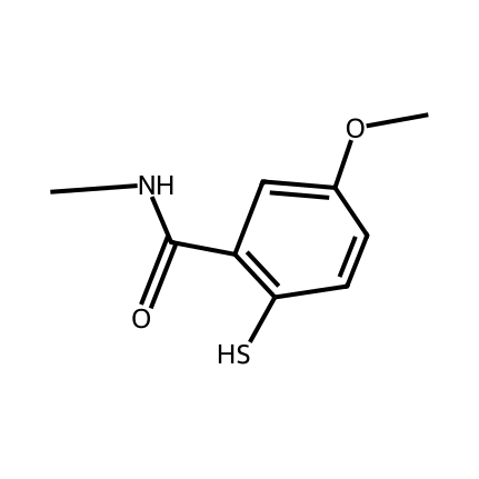 CNC(=O)c1cc(OC)ccc1S